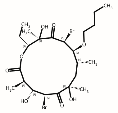 CCCCO[C@H]1[C@H](C)C[C@@](C)(O)C(=O)[C@@H](Br)[C@H](O)[C@@H](C)C(=O)O[C@H](CC)[C@@](C)(O)C(=O)[C@H]1Br